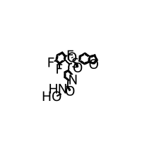 O=C(NCO)c1ccc(C(c2c(F)ccc(F)c2F)S(=O)(=O)c2ccc3ccoc3c2)cn1